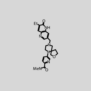 CCc1cc2ncc(CN3CCN(c4ccc(C(=O)NC)nc4)C4(CCOC4)C3)cc2[nH]c1=O